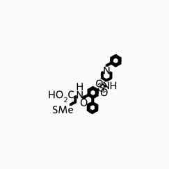 CSCC[C@H](NC(=O)c1ccc(S(=O)(=O)NC2CCN(Cc3ccccc3)CC2)cc1-c1ccccc1)C(=O)O